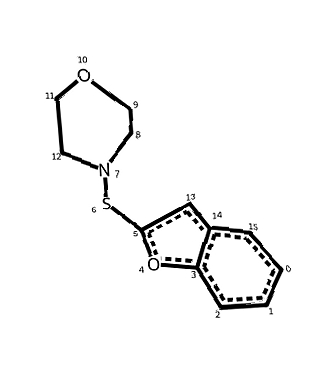 c1ccc2oc(SN3CCOCC3)cc2c1